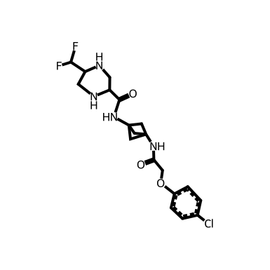 O=C(COc1ccc(Cl)cc1)NC12CC(NC(=O)C3CNC(C(F)F)CN3)(C1)C2